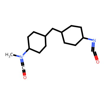 C[N+](=C=O)C1CCC(CC2CCC(N=C=O)CC2)CC1